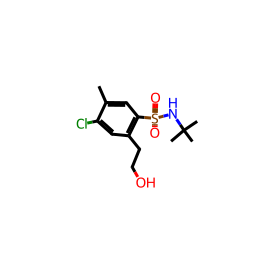 Cc1cc(S(=O)(=O)NC(C)(C)C)c(CCO)cc1Cl